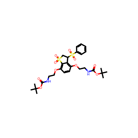 CC(C)(C)OC(=O)NCCOc1ccc(OCCNC(=O)OC(C)(C)C)c2c1C(S(=O)(=O)c1ccccc1)CS2(=O)=O